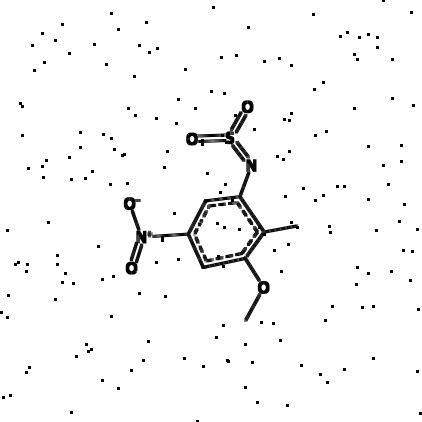 COc1cc([N+](=O)[O-])cc(N=S(=O)=O)c1C